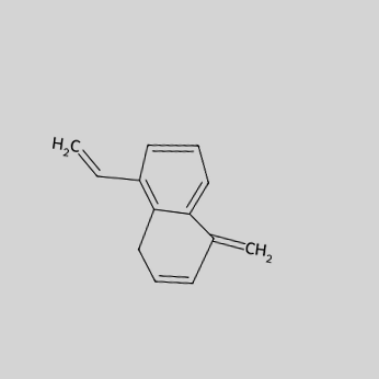 C=Cc1cccc2c1CC=CC2=C